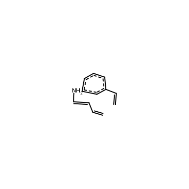 C=CC=CN.C=Cc1ccccc1